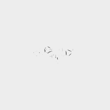 O=C(NCc1cccc(CC2(C(=O)O)CCCO2)c1)OCc1ccc(Cl)cc1Cl